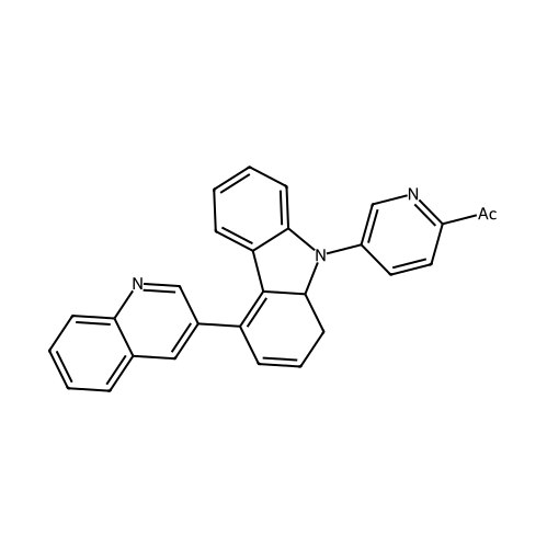 CC(=O)c1ccc(N2c3ccccc3C3=C(c4cnc5ccccc5c4)C=CCC32)cn1